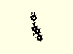 CC[C@H]1CC[C@H](CCc2ccc3c(F)c(-c4ccccc4)ccc3c2)CC1